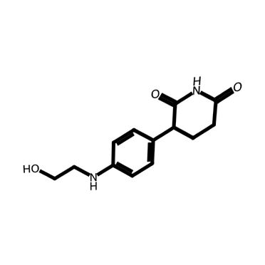 O=C1CCC(c2ccc(NCCO)cc2)C(=O)N1